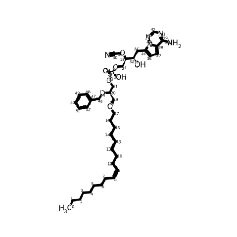 CCCCCCCC/C=C\CCCCCCCCOC[C@H](COP(=O)(O)OC[C@@H](OC#N)[C@@H](O)Cc1ccc2c(N)ncnn12)OCc1ccccc1